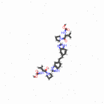 COC(=O)N[C@H](C(=O)N1CCC[C@H]1c1nc2cc(CCc3ccc4[nH]c([C@@H]5CCCN5C(=O)[C@H](NC(=O)OC)C(C)C)nc4c3)ccc2[nH]1)C(C)C